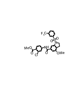 COC(=O)c1ccc(NC(=O)c2cc(OC)c3c(c2)N(S(=O)(=O)c2cccc(C(F)(F)F)c2)CC3)cc1Cl